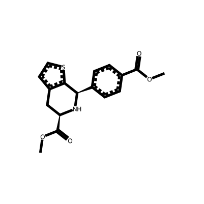 COC(=O)c1ccc([C@H]2N[C@@H](C(=O)OC)Cc3ccsc32)cc1